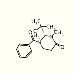 CN1C(=O)CCN(C(=O)c2ccccc2)[C@@H]1C(C)(C)C